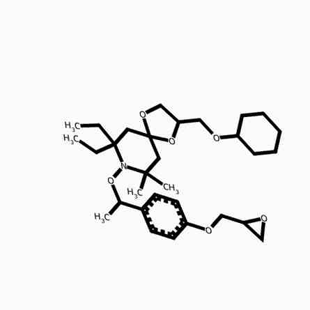 CCC1(CC)CC2(CC(C)(C)N1OC(C)c1ccc(OCC3CO3)cc1)OCC(COC1CCCCC1)O2